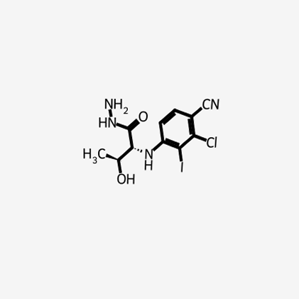 C[C@H](O)[C@@H](Nc1ccc(C#N)c(Cl)c1I)C(=O)NN